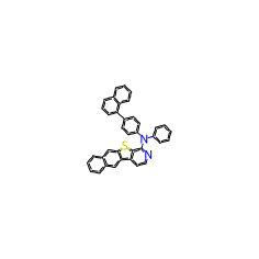 c1ccc(N(c2ccc(-c3cccc4ccccc34)cc2)c2nccc3c2sc2cc4ccccc4cc23)cc1